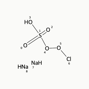 O=S(=O)(O)OOCl.[NaH].[NaH]